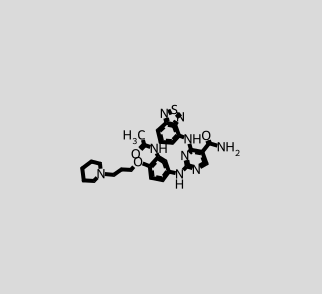 CC(=O)Nc1cc(Nc2ncc(C(N)=O)c(Nc3cccc4nsnc34)n2)ccc1OCCCN1CCCCC1